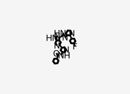 O=C(Nc1cncc(-c2cc3c(-c4nc5c(-c6ccc(F)cc6)nccc5[nH]4)n[nH]c3cn2)c1)c1ccccc1